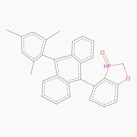 Cc1cc(C)c(-c2c3ccccc3c(-c3cccc4c3[PH](=O)CO4)c3ccccc23)c(C)c1